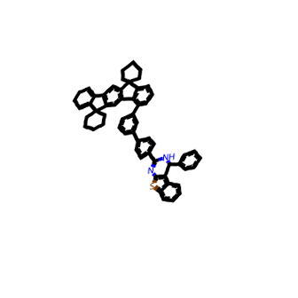 C1=C2C(=CCC1)C1(CCCCC1)c1cc3c(cc12)C1(CCCCC1)c1cccc(-c2cccc(-c4ccc(C5=Nc6sc7ccccc7c6C(c6ccccc6)N5)cc4)c2)c1-3